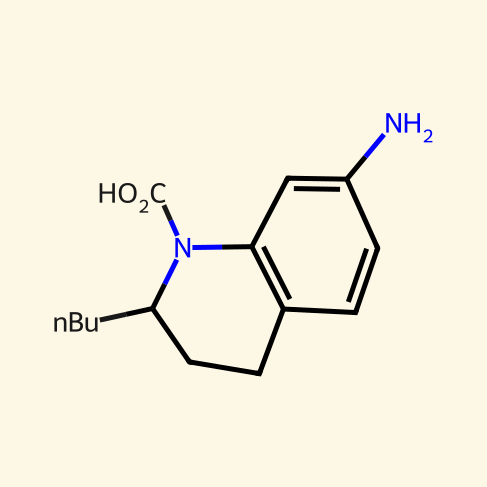 CCCCC1CCc2ccc(N)cc2N1C(=O)O